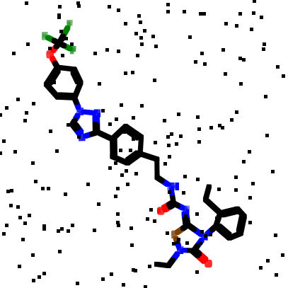 CCc1ccccc1-n1c(=O)n(CC)s/c1=N\C(=O)NCCc1ccc(-c2ncn(-c3ccc(OC(F)(F)F)cc3)n2)cc1